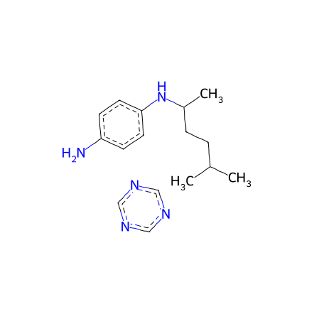 CC(C)CCC(C)Nc1ccc(N)cc1.c1ncncn1